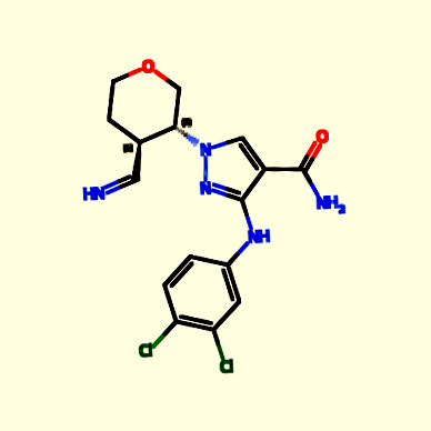 N=C[C@H]1CCOC[C@@H]1n1cc(C(N)=O)c(Nc2ccc(Cl)c(Cl)c2)n1